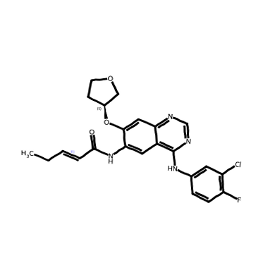 CC/C=C/C(=O)Nc1cc2c(Nc3ccc(F)c(Cl)c3)ncnc2cc1O[C@H]1CCOC1